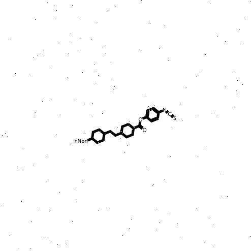 CCCCCCCCCC1CCC(CCC2CCC(C(=O)Oc3ccc(N=C=S)cc3)CC2)CC1